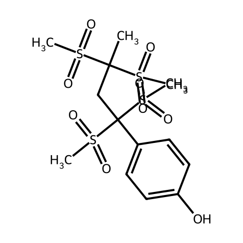 CC(CC(c1ccc(O)cc1)(S(C)(=O)=O)S(C)(=O)=O)(S(C)(=O)=O)S(C)(=O)=O